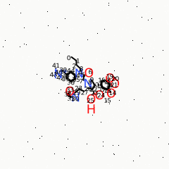 CCCCN(C(=O)CN1C[C@H](c2cc(OC)c3c(c2)OCO3)[C@@H](C(=O)O)[C@@H]1CCc1ncco1)c1cccc(C[N+](C)(C)C)c1